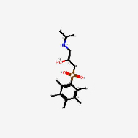 Cc1c(C)c(C)c(S(=O)(=O)CC(O)CNC(C)C)c(C)c1C